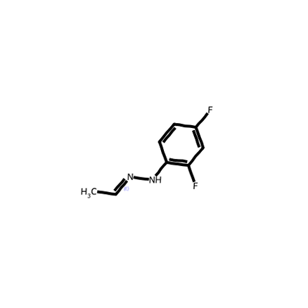 C/C=N/Nc1ccc(F)cc1F